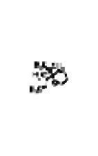 C=CCC1([Si](C)(C)C)CCCCO1